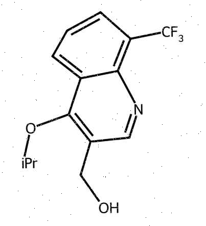 CC(C)Oc1c(CO)cnc2c(C(F)(F)F)cccc12